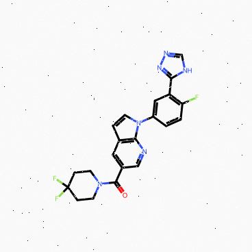 O=C(c1cnc2c(ccn2-c2ccc(F)c(-c3nnc[nH]3)c2)c1)N1CCC(F)(F)CC1